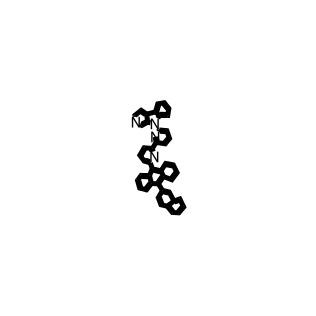 c1cc(-c2cccc(-n3c4ccccc4c4ccncc43)n2)nc(-c2c3ccccc3c(-c3ccc4ccccc4c3)c3ccccc23)c1